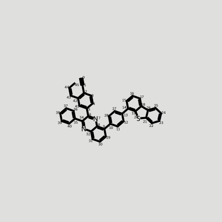 C#Cc1ccc(-c2nc3c(-c4ccc(-c5cccc6c5sc5ccccc56)cc4)cccc3nc2-c2ccccc2)cc1/C=C\C